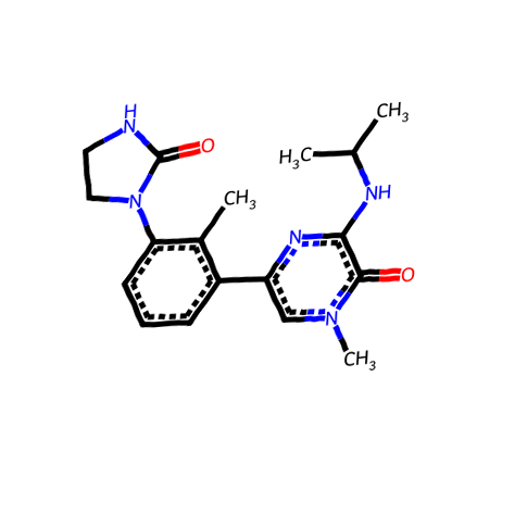 Cc1c(-c2cn(C)c(=O)c(NC(C)C)n2)cccc1N1CCNC1=O